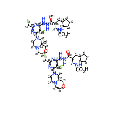 O=C(O)NCC(CC1CCCC1)C(=O)NNc1nc(CF)nc(N2C=CN3C=COCC3=C2)c1F.O=C(O)NC[C@@H](CC1CCCC1)C(=O)NNc1nc(CF)nc(N2CCN3CCOC[C@@H]3C2)c1F